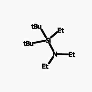 CCN(CC)[Si](CC)(C(C)(C)C)C(C)(C)C